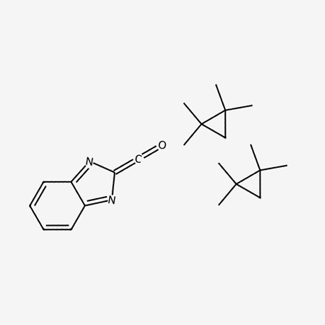 CC1(C)CC1(C)C.CC1(C)CC1(C)C.O=C=C1N=c2ccccc2=N1